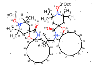 CCCCCCCCON1C(C)(C)CC2(CC1(C)C)OC1(CCCCCCCCCCC1)N(CC(CN1C(=O)C3(CC(C)(C)N(OCCCCCCCC)C(C)(C)C3)OC13CCCCCCCCCCC3)OC(C)=O)C2=O